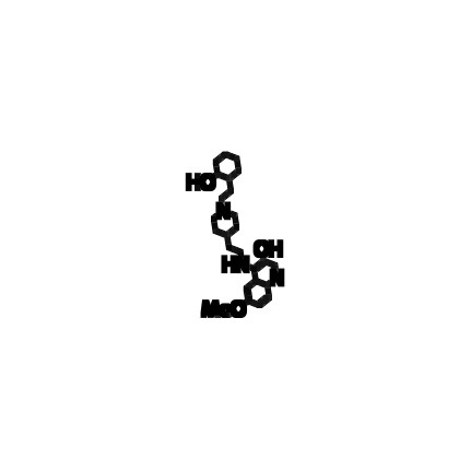 COC1=CC2C(NCCC3CCN(CCC4CCCCC4O)CC3)=C(O)C=NC2C=C1